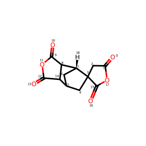 O=C1CC2(CC3C[C@@H]2C2C(=O)OC(=O)C32)C(=O)O1